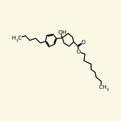 CCCCCCCCOC(=O)C1CCC(O)(c2ccc(CCCCC)cc2)CC1